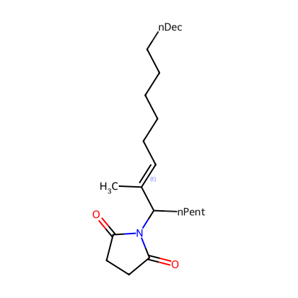 CCCCCCCCCCCCCCC/C=C(\C)C(CCCCC)N1C(=O)CCC1=O